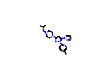 Cc1ccc(-n2nc(N3CCN(CC(C)C)CC3)cc2-n2cccn2)nc1